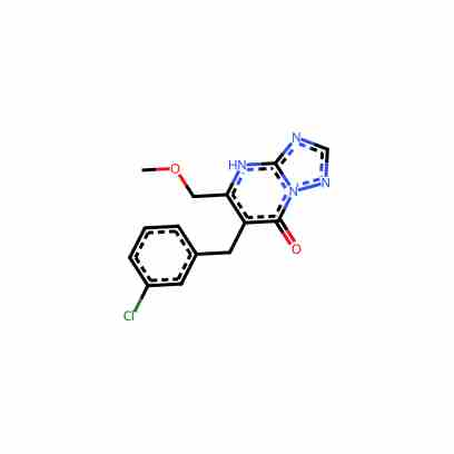 COCc1[nH]c2ncnn2c(=O)c1Cc1cccc(Cl)c1